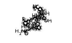 Cc1ncsc1-c1ccc([C@H](C)NC(=O)C2C[C@@H](O)CN2C(=O)[C@@H](NC(=O)CCCCCc2c(F)ccc(NC[C@H](CCC(N)=O)NC(=O)[C@@H]3Cc4cccc5c4N3C(=O)[C@@H](N)CC5)c2F)C(C)(C)C)cc1